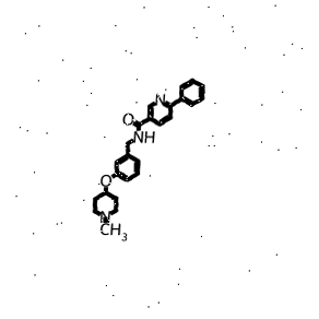 CN1CCC(Oc2cccc(CNC(=O)c3ccc(-c4ccccc4)nc3)c2)CC1